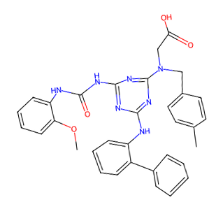 COc1ccccc1NC(=O)Nc1nc(Nc2ccccc2-c2ccccc2)nc(N(CC(=O)O)Cc2ccc(C)cc2)n1